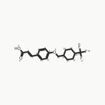 O=C(O)/C=C/c1ccc(OCC2CCC(C(F)(F)F)CC2)cc1